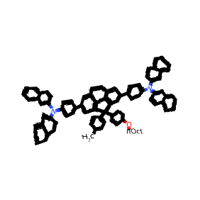 CCCCCCCCOc1ccc(C2(c3ccc(C)cc3)c3cc(-c4ccc(N(c5ccc6ccccc6c5)c5ccc6ccccc6c5)cc4)cc4ccc5cc(-c6ccc(N(c7ccc8ccccc8c7)c7ccc8ccccc8c7)cc6)cc2c5c34)cc1